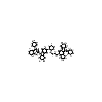 C(=C/c1ccccc1-c1ccc2c(c1)c1ccccc1n2-c1nc(-c2ccccc2)c2ccccc2n1)/C=C/c1cc2c3ccccc3n(-c3ccccc3)c2c2ccccc12